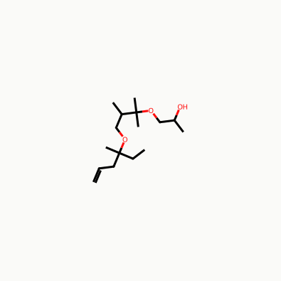 C=CCC(C)(CC)OCC(C)C(C)(C)OCC(C)O